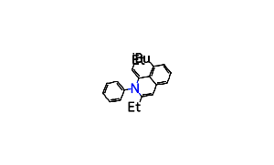 CC/C=C1\c2c(cccc2C(C)CC)C=C(CC)N1c1ccccc1